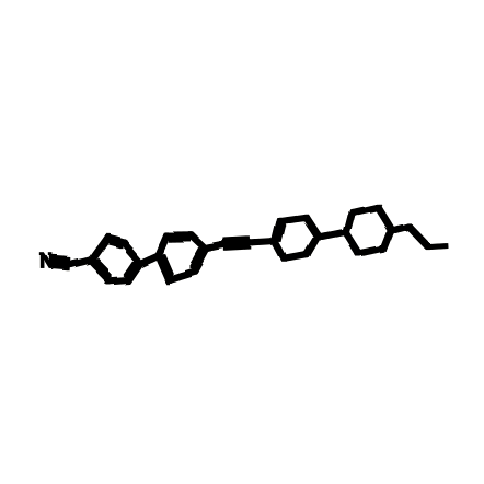 CCCC1CCC(C2CC=C(C#Cc3ccc(-c4ccc(C#N)cc4)cc3)CC2)CC1